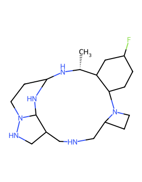 C[C@H]1NC2CCN3NCC(CNCC4CCN4C4CCC(F)CC41)C3N2